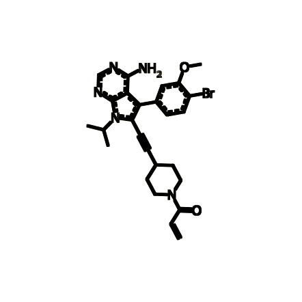 C=CC(=O)N1CCC(C#Cc2c(-c3ccc(Br)c(OC)c3)c3c(N)ncnc3n2C(C)C)CC1